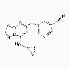 N#Cc1cccc(Cc2cc(NC3CC3)n3nccc3n2)c1